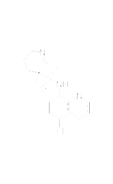 CC1(S(=O)(=O)Nc2ccc(Cl)c3cccnc23)C=NC=CC1